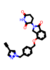 C#Cc1cnn(Cc2ccc(COc3cccc4c3CN(C3CCC(=O)NC3=O)C4=O)cc2)c1